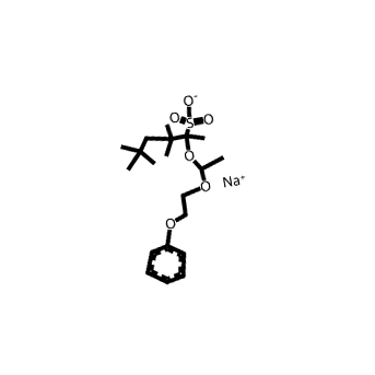 CC(OCCOc1ccccc1)OC(C)(C(C)(C)CC(C)(C)C)S(=O)(=O)[O-].[Na+]